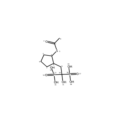 CC(=O)SC1CCCC1CC(O)(P(=O)(O)O)P(=O)(O)O